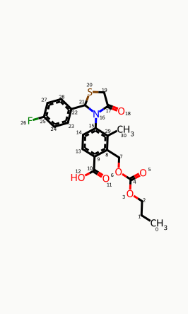 CCCOC(=O)OCc1c(C(=O)O)ccc(N2C(=O)CSC2c2ccc(F)cc2)c1C